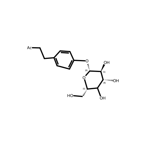 CC(=O)CCc1ccc(O[C@H]2O[C@@H](CO)C(O)[C@@H](O)[C@@H]2O)cc1